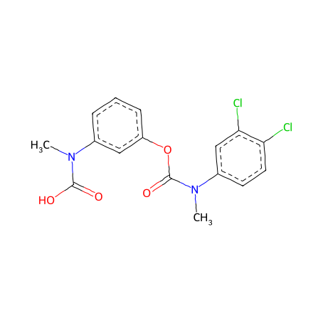 CN(C(=O)O)c1cccc(OC(=O)N(C)c2ccc(Cl)c(Cl)c2)c1